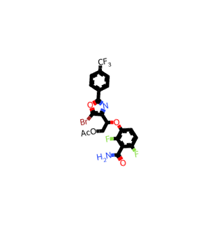 CC(=O)OCC(Oc1ccc(F)c(C(N)=O)c1F)c1nc(-c2ccc(C(F)(F)F)cc2)oc1Br